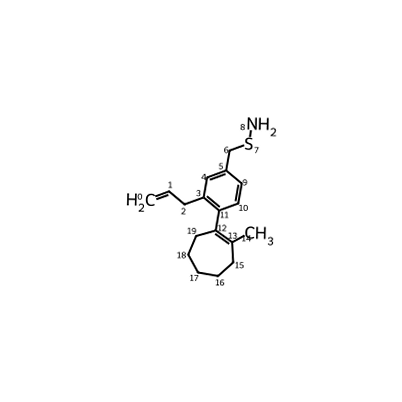 C=CCc1cc(CSN)ccc1C1=C(C)CCCCC1